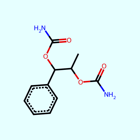 CC(OC(N)=O)C(OC(N)=O)c1ccccc1